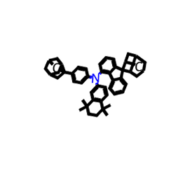 CC1(C)CCC(C)(C)c2cc(N(c3ccc(C45CC6CC(CC4C6)C5)cc3)c3cccc4c3-c3ccccc3C43C4CC5CC6CC3C64C5)ccc21